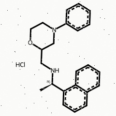 C[C@@H](NCC1CN(c2ccccc2)CCO1)c1cccc2ccccc12.Cl